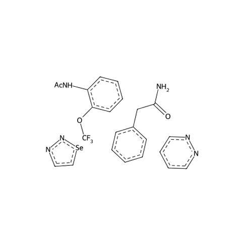 CC(=O)Nc1ccccc1OC(F)(F)F.NC(=O)Cc1ccccc1.c1c[se]nn1.c1ccnnc1